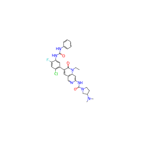 CCn1c(=O)c(-c2cc(NC(=O)Nc3ccccc3)c(F)cc2Cl)cc2cnc(NC(=O)N3CCC(N(C)C)C3)cc21